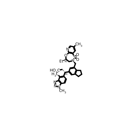 CC[C@@H]1CN(Cc2cc([C@@H](CC(=O)O)c3ccc4c(nnn4C)c3C)cc3c2CCC3)S(=O)(=O)c2cc(C)cnc2O1